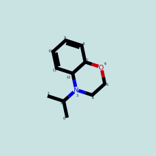 CC(C)N1CCOC2C=CC=CC21